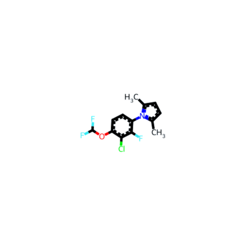 Cc1ccc(C)n1-c1ccc(OC(F)F)c(Cl)c1F